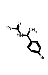 CC(C)C(=O)NC(C)c1ccc(Br)cc1